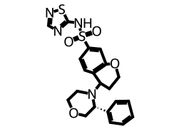 O=S(=O)(Nc1ncns1)c1ccc2c(c1)OCCC2N1CCOC[C@H]1c1ccccc1